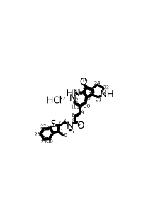 Cc1c(CN(C)C(=O)/C=C/c2cn[nH]c3c(=O)c4c(c=3c2)CNCC4)sc2ccccc12.Cl